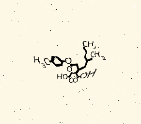 CCCCC(CC)CC(CC(=O)Oc1ccc(C)cc1)=C(CC(=O)O)C(=O)O